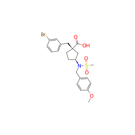 COc1ccc(CN([C@H]2CC[C@](Cc3cccc(Br)c3)(C(=O)O)C2)S(C)(=O)=O)cc1